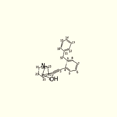 OC1(C#Cc2ccccc2Cc2ccccc2)CN2CCC1CC2